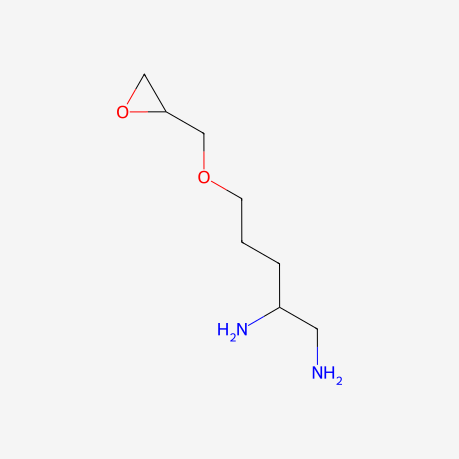 NCC(N)CCCOCC1CO1